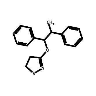 CC(c1ccccc1)C(OC1=NSCC1)c1ccccc1